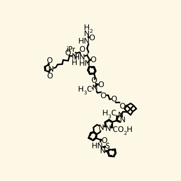 Cc1c(-c2ccc(N3CCc4cccc(C(=O)Nc5nc6ccccc6s5)c4C3)nc2C(=O)O)cnn1CC12CC3CC4CC(OCCOCCOCCN(C)C(=O)OCc5ccc(NC(=O)[C@H](CCCNC(N)=O)NC(=O)[C@@H](NC(=O)CCCCCN6C(=O)C=CC6=O)C(C)C)cc5)(C1)C342